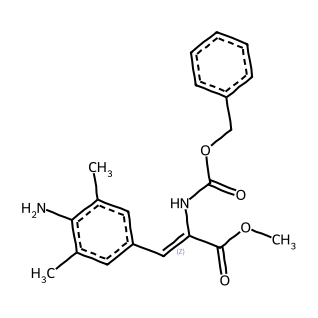 COC(=O)/C(=C/c1cc(C)c(N)c(C)c1)NC(=O)OCc1ccccc1